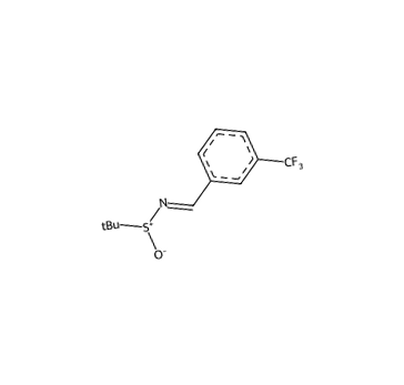 CC(C)(C)[S+]([O-])N=Cc1cccc(C(F)(F)F)c1